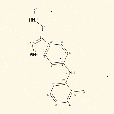 CNCc1c[nH]c2cc(Nc3cccnc3C)ccc12